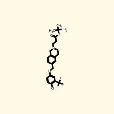 CC(C)(C)OC(=O)CCN1CCc2cc(COc3ccc(Cl)c(C(F)(F)F)c3)ccc2C1